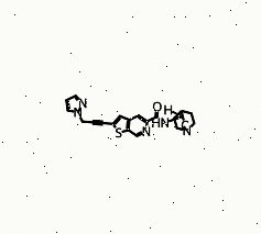 O=C(N[C@H]1CN2CCC1CC2)c1cc2cc(C#CCn3cccn3)sc2cn1